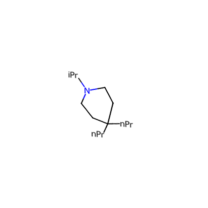 CCCC1(CCC)CCN(C(C)C)CC1